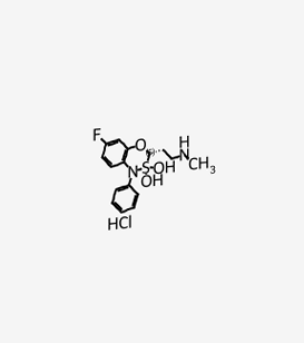 CNCC[C@H]1Oc2cc(F)ccc2N(c2ccccc2)S1(O)O.Cl